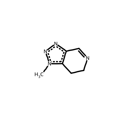 Cn1nnc2c1CCN=C2